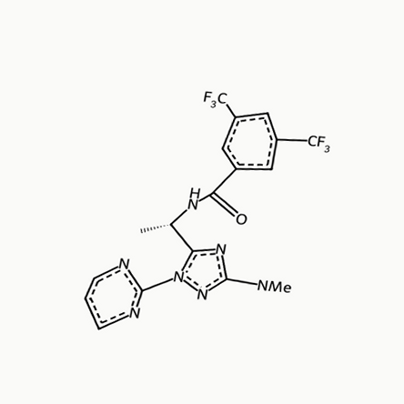 CNc1nc([C@H](C)NC(=O)c2cc(C(F)(F)F)cc(C(F)(F)F)c2)n(-c2ncccn2)n1